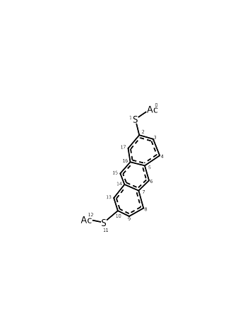 CC(=O)Sc1ccc2cc3ccc(SC(C)=O)cc3cc2c1